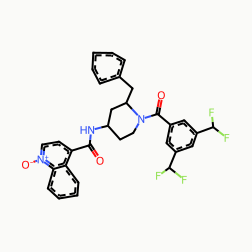 O=C(NC1CCN(C(=O)c2cc(C(F)F)cc(C(F)F)c2)C(Cc2ccccc2)C1)c1cc[n+]([O-])c2ccccc12